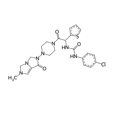 CN1C=C2C(=O)N(N3CCN(C(=O)C(NC(=O)Nc4ccc(Cl)cc4)c4cccs4)CC3)CN2C1